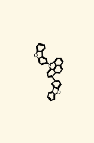 c1ccc2c(c1)oc1ccc(-c3ccc4c5c3ccc3cccc(c35)n4-c3ccc4oc5ccccc5c4c3)cc12